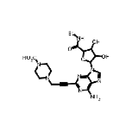 CCNC(=O)C1OC(n2cnc3c(N)nc(C#CCN4CCN(C(=O)O)CC4)nc32)C(O)C1O